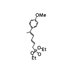 CCOP(=O)(CC=CC=C(C)c1ccc(OC)cc1)OCC